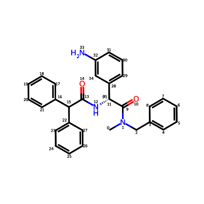 CN(Cc1ccccc1)C(=O)[C@H](NC(=O)C(c1ccccc1)c1ccccc1)c1cccc(N)c1